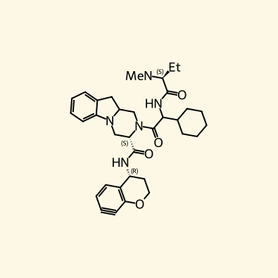 CC[C@H](NC)C(=O)NC(C(=O)N1CC2Cc3ccccc3N2C[C@H]1C(=O)N[C@@H]1CCOc2c#cccc21)C1CCCCC1